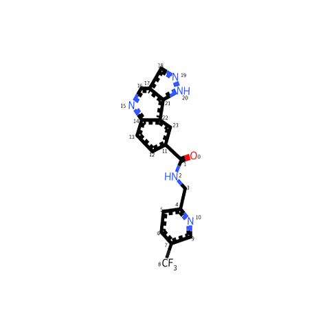 O=C(NCc1ccc(C(F)(F)F)cn1)c1ccc2ncc3cn[nH]c3c2c1